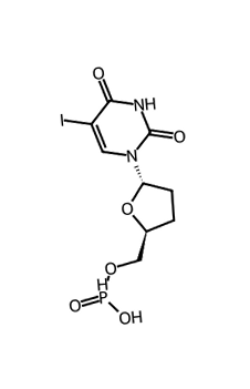 O=c1[nH]c(=O)n([C@@H]2CC[C@@H](CO[PH](=O)O)O2)cc1I